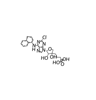 O=P(O)(O)CCCC1(O)CO[C@@H](n2cnc3c(Nc4cccc5ccccc45)nc(Cl)nc32)C1O